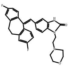 O=c1[nH]c2cc(C=C3c4ccc(F)cc4CCc4cc(F)ccc43)ccc2n1CCN1CCOCC1